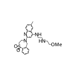 COCCNCCNc1cc(N2CCS(=O)(=O)c3ccccc3C2)nc2ccc(C)cc12